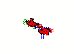 CC(C)N(C[C@H]1O[C@@H](n2cnc3c(NCCCCNC(=O)CCCC(=O)NCCOCCN[C@@H](Cc4ccccc4)C(=O)N4C/C(=C\c5ccc(Cl)c(Cl)c5)C(=O)/C(=C/c5ccc(Cl)c(Cl)c5)C4)ncnc32)C(O)C1O)C1CC(CCc2nc3cc(C(C)(C)C)ccc3[nH]2)C1